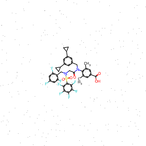 Cc1cc(C(=O)O)cc(C)c1N(Cc1cc(C2CC2)cc(C2CC2)c1)C(=O)CN(Cc1c(F)cc(F)cc1F)S(=O)(=O)c1c(F)c(F)c(F)c(F)c1F